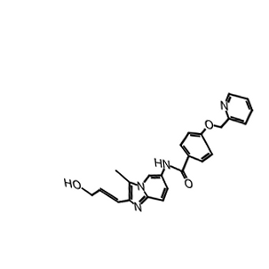 Cc1c(C=CCO)nc2ccc(NC(=O)c3ccc(OCc4ccccn4)cc3)cn12